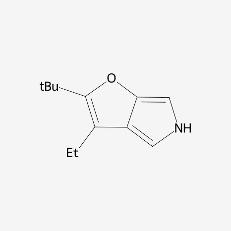 CCc1c(C(C)(C)C)oc2c[nH]cc12